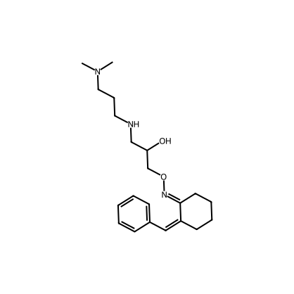 CN(C)CCCNCC(O)CON=C1CCCCC1=Cc1ccccc1